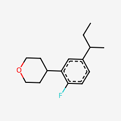 CCC(C)c1ccc(F)c(C2CCOCC2)c1